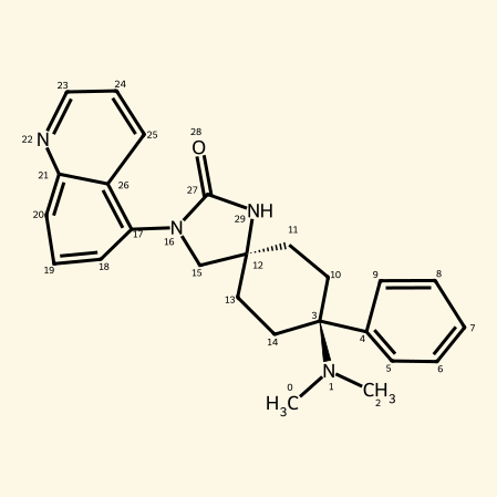 CN(C)[C@]1(c2ccccc2)CC[C@]2(CC1)CN(c1cccc3ncccc13)C(=O)N2